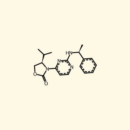 CC(C)[C@@H]1COC(=O)N1c1ccnc(N[C@@H](C)c2ccccc2)n1